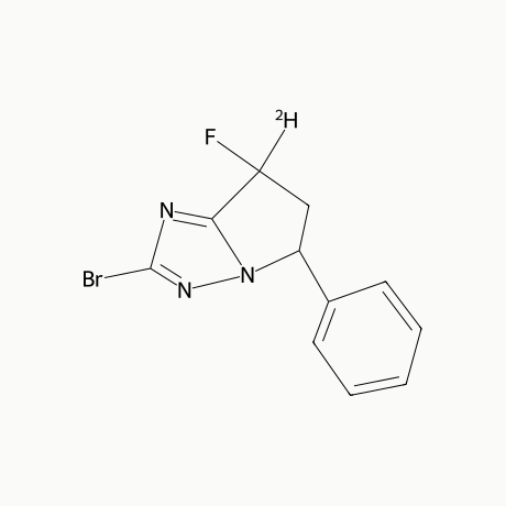 [2H]C1(F)CC(c2ccccc2)n2nc(Br)nc21